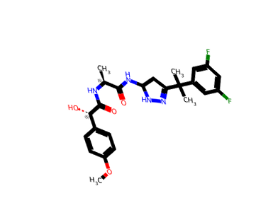 COc1ccc([C@H](O)C(=O)N[C@@H](C)C(=O)NC2CC(C(C)(C)c3cc(F)cc(F)c3)=NN2)cc1